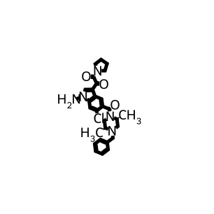 C[C@@H]1CN(Cc2ccccc2)[C@@H](C)CN1C(=O)c1cc2c(C(=O)C(=O)N3CCCC3)cn(N)c2cc1Cl